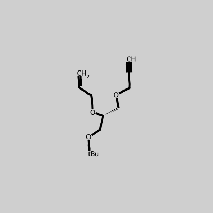 C#CCOC[C@H](COC(C)(C)C)OCC=C